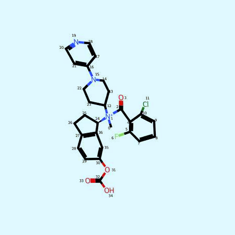 C[N+](C(=O)c1c(F)cccc1Cl)(C1CCN(c2ccncc2)CC1)[C@@H]1CCc2ccc(OC(=O)O)cc21